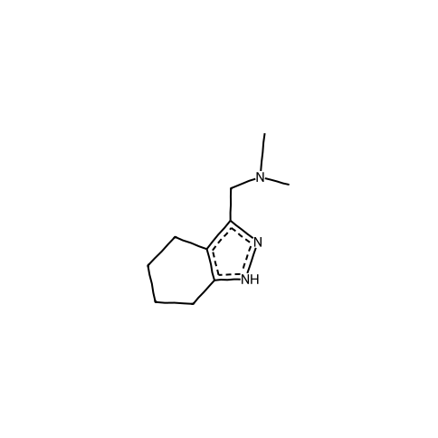 CN(C)Cc1n[nH]c2c1CCCC2